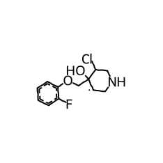 OC1(COc2ccccc2F)[CH]CNCC1Cl